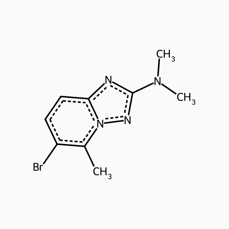 Cc1c(Br)ccc2nc(N(C)C)nn12